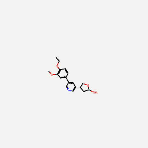 CCOc1ccc(-c2cncc([C@@H]3COB(O)C3)c2)cc1OC